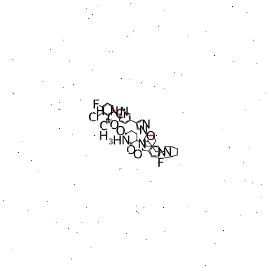 C[C@@H](Oc1cc(-c2cnn(C3CCC(CN4CC5CCC(C4)N5c4cc5c(cc4F)C(=O)N(C4CCC(=O)NC4=O)C5=O)CC3)c2)cnc1N)c1c(Cl)ccc(F)c1Cl